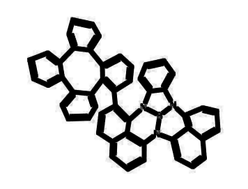 c1ccc2c(c1)-c1ccccc1-c1cccc(-c3ccc4cccc5c4c3N3B4N(c6ccccc63)c3cccc6cccc(c36)N45)c1-c1ccccc1-2